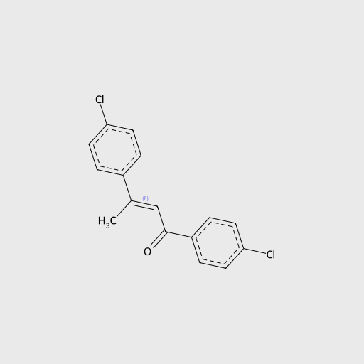 C/C(=C\C(=O)c1ccc(Cl)cc1)c1ccc(Cl)cc1